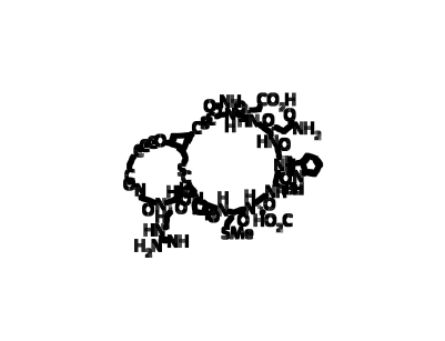 CC[C@H](C)[C@@H]1NC(=O)[C@H](CC(=O)O)NC(=O)[C@H](CCSC)NC(=O)[C@@H]2CCCN2C(=O)[C@@H]2CSCc3cc(cc(c3)OCCCCCCO/N=C/C(=O)N[C@@H](CCCNC(=N)N)C(=O)N2)CSC[C@@H](C(N)=O)NC(=O)[C@H](CCC(=O)O)NC(=O)[C@H](CCC(N)=O)NC(=O)[C@H](Cc2c[nH]c3ccccc23)NC1=O